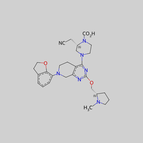 CN1CCC[C@H]1COc1nc2c(c(N3CCN(C(=O)O)[C@@H](CC#N)C3)n1)CCN(c1cccc3c1OCC3)C2